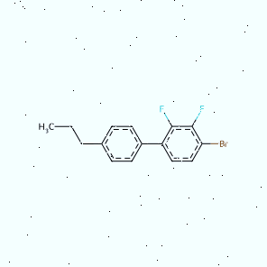 CCCc1ccc(-c2ccc(Br)c(F)c2F)cc1